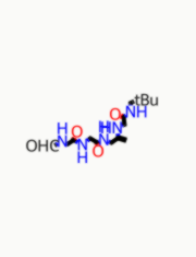 C=C(CNC(=O)CNC(=O)CNC=O)NCC(=O)NCC(C)(C)C